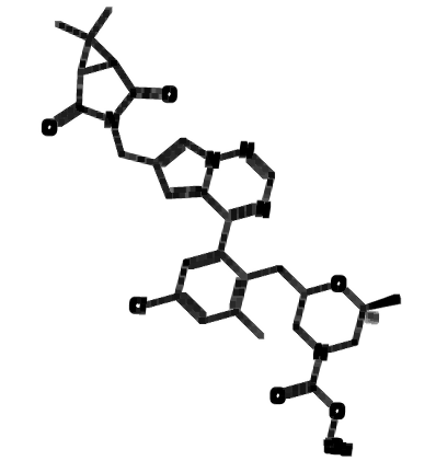 Cc1cc(Cl)cc(-c2ncnn3cc(CN4C(=O)C5C(C4=O)C5(C)C)cc23)c1CC1CN(C(=O)OC(C)(C)C)C[C@H](C)O1